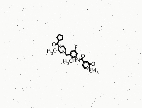 Cc1c(CN2CCN(C(=O)C3CCCC3)[C@@H](C)C2)cc(F)cc1NC(=O)c1ccn(C)c(=O)c1